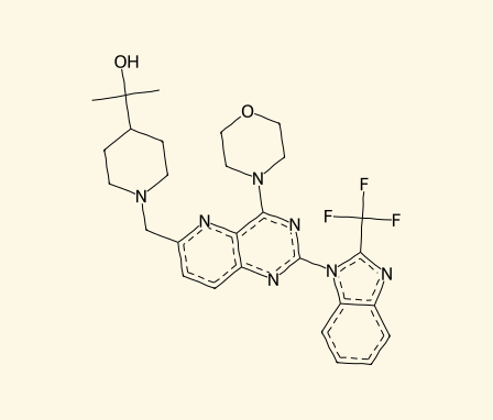 CC(C)(O)C1CCN(Cc2ccc3nc(-n4c(C(F)(F)F)nc5ccccc54)nc(N4CCOCC4)c3n2)CC1